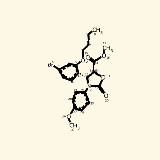 CCCCOc1cc(Br)ccc1[C@@H]1[C@@H](C(=O)OC)OC(=O)N1c1ccc(OC)cc1